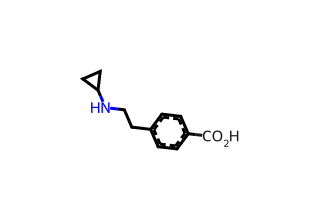 O=C(O)c1ccc(CCNC2CC2)cc1